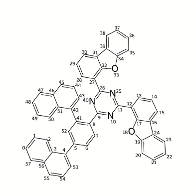 c1ccc2c(-c3ccc(-c4nc(-c5cccc6c5oc5ccccc56)nc(-c5cccc6c5oc5ccccc56)n4)c(-c4cccc5ccccc45)c3)cccc2c1